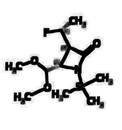 COC(OC)[C@@H]1[C@@H]([C@@H](C)F)C(=O)N1[Si](C)(C)C